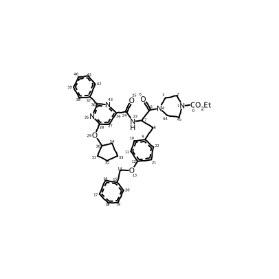 CCOC(=O)N1CCN(C(=O)C(Cc2ccc(OCc3ccccc3)cc2)NC(=O)c2cc(OC3CCCC3)nc(-c3ccccc3)n2)CC1